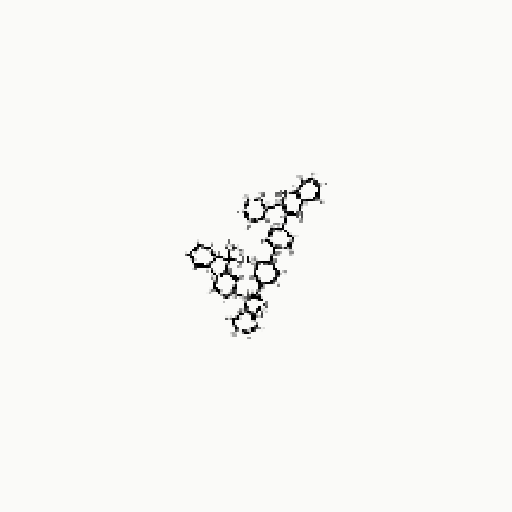 CC1(C)c2ccccc2-c2ccc(-n3c(-c4ccc(-c5ccc(-c6nc7ccccc7nc6-c6ccccc6)cc5)cc4)nc4ccccc43)cc21